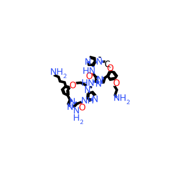 CN1CCOc2ccc(OCCCN)cc2-c2cnc(NCN3CCCOc4cc(ccc4CCCCN)-c4cnc(N)c(n4)C(=O)Nc4cnccc43)c(n2)C(=O)Nc2cnccc21